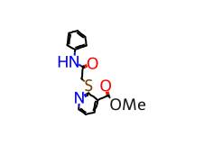 COC(=O)c1cccnc1SCC(=O)Nc1ccccc1